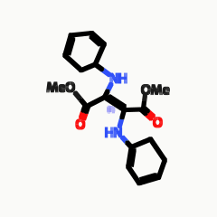 COC(=O)/C(NC1=CC=CCC1)=C(\NC1C=CC=CC1)C(=O)OC